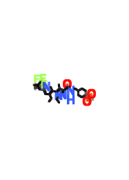 CCc1cc(C[C@@H](C)C(F)(F)F)ncc1-c1c(C)c(C(=O)NCC2CCC(S(C)(=O)=O)CC2)nn1CC